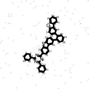 c1ccc(-c2nc(-c3ccccc3)nc(-c3ccc4c(c3)sc3ccc(-c5ccccc5-c5ccc6oc7ccccc7c6c5)cc34)n2)cc1